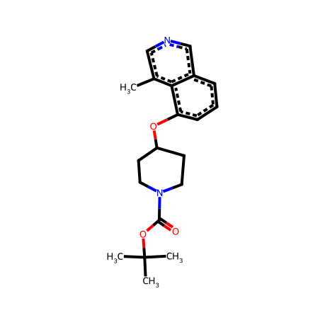 Cc1cncc2cccc(OC3CCN(C(=O)OC(C)(C)C)CC3)c12